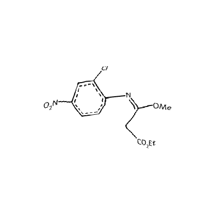 CCOC(=O)CC(=Nc1ccc([N+](=O)[O-])cc1Cl)OC